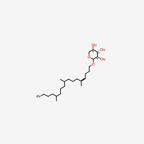 CC(=CCCCOC1OC[C@@H](O)[C@H](O)[C@H]1O)CCCC(C)CCCC(C)CCCC(C)C